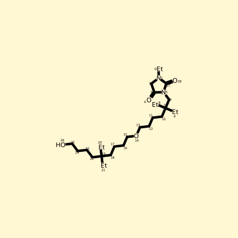 CCN1CC(=O)N(CC(CC)(CC)CCCCOCCCCC(CC)(CC)CCCCO)C1=O